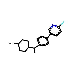 CCCCC1CCC(C(C)c2ccc(-c3ccc(F)nc3)cc2)CC1